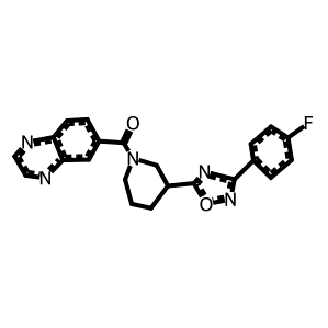 O=C(c1ccc2nccnc2c1)N1CCCC(c2nc(-c3ccc(F)cc3)no2)C1